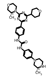 C[C@@H]1CN(c2ccc(NC(=O)Nc3ccc(-c4nc(C5CCOCC5)nc(N5CCOC[C@H]5C)n4)cc3)cc2)CCN1